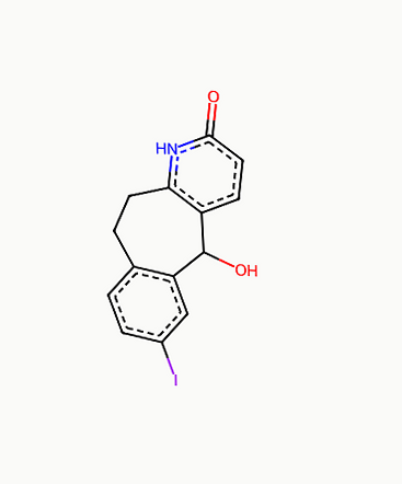 O=c1ccc2c([nH]1)CCc1ccc(I)cc1C2O